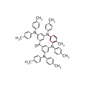 Cc1ccc(N(c2ccccc2)c2cc(C(=O)c3cc(N(c4ccc(C)cc4)c4ccc(C)cc4)cc(N(c4ccc(C)cc4)c4ccc(C)cc4)c3)cc(N(c3ccc(C)cc3)c3ccc(C)cc3)c2)cc1